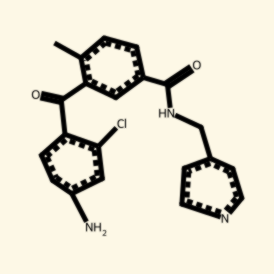 Cc1ccc(C(=O)NCc2ccncc2)cc1C(=O)c1ccc(N)cc1Cl